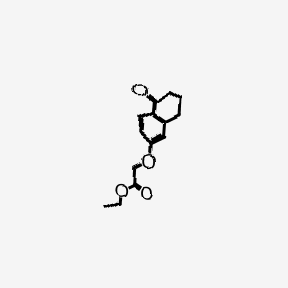 CCOC(=O)COc1ccc2c(c1)CCCC2=O